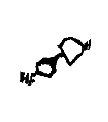 Cc1ccc(C2CCCNCC2)cc1